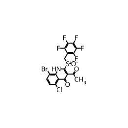 CC(=O)c1c([S+]([O-])Cc2c(F)c(F)c(F)c(F)c2F)[nH]c2c(Br)ccc(Cl)c2c1=O